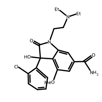 CCN(CC)CCN1C(=O)C(O)(c2ccccc2Cl)c2c(OC)cc(C(N)=O)cc21